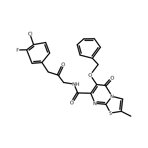 Cc1cn2c(=O)c(OCc3ccccc3)c(C(=O)NCC(=O)Cc3ccc(Cl)c(F)c3)nc2s1